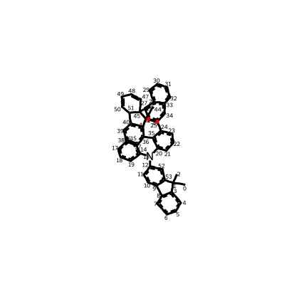 CC1(C)c2ccccc2-c2ccc(N(c3ccccc3)c3cccc(-c4ccc5ccccc5c4)c3-c3cccc4c3C(C)(C)C3(C)C=CC=CC43)cc21